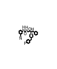 N#Cc1cccc(NC(=O)NCC(O)C(Cc2ccccc2)N2CCC(Cc3ccc(F)cc3)CC2)c1